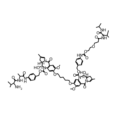 COc1cc2c(cc1OCCCCCOc1cc3c(cc1OC)C(=O)N1C=C(C)C[C@H]1[C@H](O)N3C(=O)OCc1ccc(NC(=O)C(C)NC(=O)C(N)C(C)C)cc1)N(C(=O)OCc1ccc(NC(=O)OCCOCCC(=O)N[C@@H](C(=O)NC(C)C)C(C)C)cc1)[C@H](O)[C@H]1CC(C)=CN1C2=O